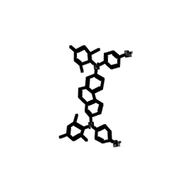 Cc1cc(C)c(N(c2ccc(Br)cc2)c2ccc3c(ccc4cc(N(c5ccc(Br)cc5)c5c(C)cc(C)cc5C)ccc43)c2)c(C)c1